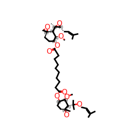 CO[C@@H]1[C@H](OC(=O)CCCCCCCCC(=O)O[C@@H]2CC[C@]3(CO3)[C@@H](C(C)(C)OCC=C(C)C)[C@@H]2OC)CC[C@]2(CO2)[C@H]1[C@@]1(C)O[C@@H]1CC=C(C)C